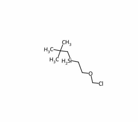 CC(C)(C)C[SiH2]CCOCCl